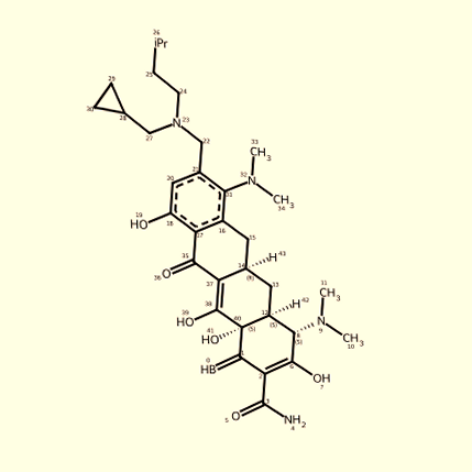 B=C1C(C(N)=O)=C(O)[C@@H](N(C)C)[C@@H]2C[C@@H]3Cc4c(c(O)cc(CN(CCC(C)C)CC5CC5)c4N(C)C)C(=O)C3=C(O)[C@]12O